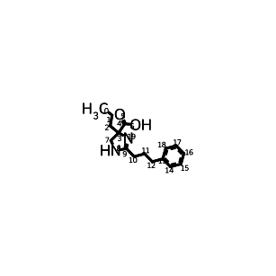 CCCC1(C(=O)O)CNC(CCCc2ccccc2)=N1